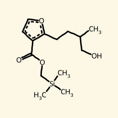 CC(CO)CCc1occc1C(=O)OC[Si](C)(C)C